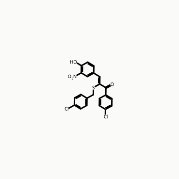 O=C(C(=Cc1ccc(O)c([N+](=O)[O-])c1)SCc1ccc(Cl)cc1)c1ccc(Cl)cc1